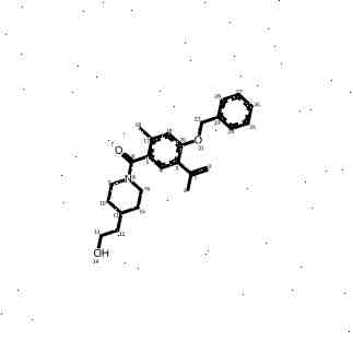 C=C(C)c1cc(C(=O)N2CCC(CCO)CC2)c(C)cc1OCc1ccccc1